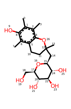 Cc1c(C)c2c(c(C)c1O)CCC(C)(C[C@@H]1O[C@H](CO)[C@@H](O)[C@H](O)[C@H]1O)O2